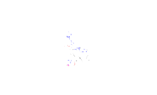 N=NNC(=O)c1cc(C(=O)N=O)c2cccnc2n1